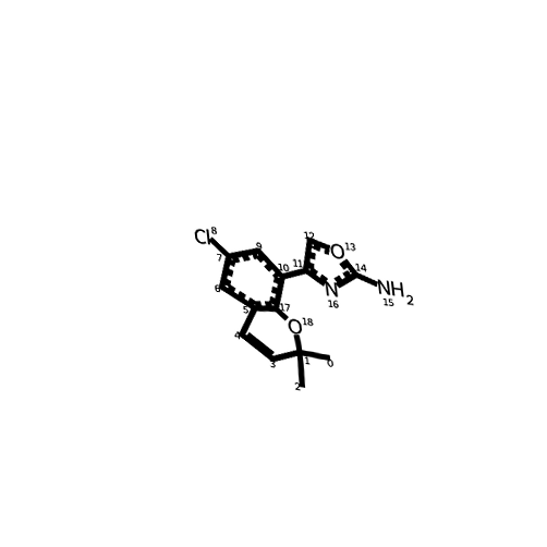 CC1(C)C=Cc2cc(Cl)cc(-c3coc(N)n3)c2O1